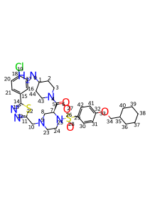 NC1CCN(C(=O)[C@@H]2CN(Cc3nnc(-c4ccc(Cl)cc4)s3)CCN2S(=O)(=O)c2ccc(OCC3CCCCC3)cc2)CC1